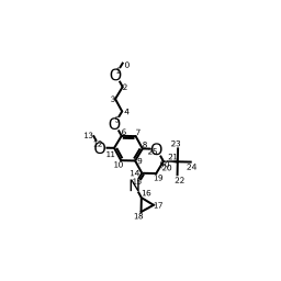 COCCCOc1cc2c(cc1OC)C(=NC1CC1)C[C@H](C(C)(C)C)O2